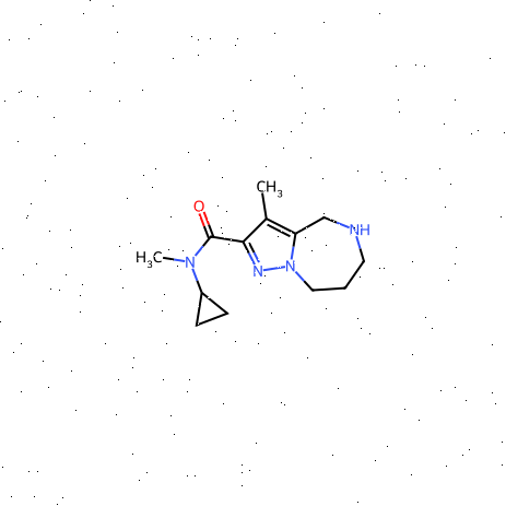 Cc1c(C(=O)N(C)C2CC2)nn2c1CNCCC2